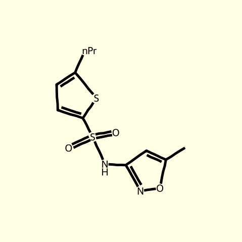 CCCc1ccc(S(=O)(=O)Nc2cc(C)on2)s1